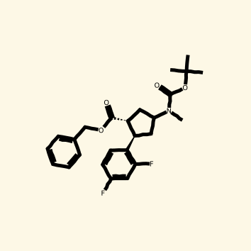 CN(C(=O)OC(C)(C)C)C1C[C@@H](C(=O)OCc2ccccc2)[C@H](c2ccc(F)cc2F)C1